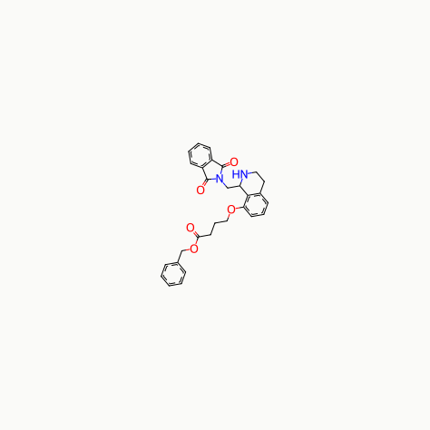 O=C(CCCOc1cccc2c1C(CN1C(=O)c3ccccc3C1=O)NCC2)OCc1ccccc1